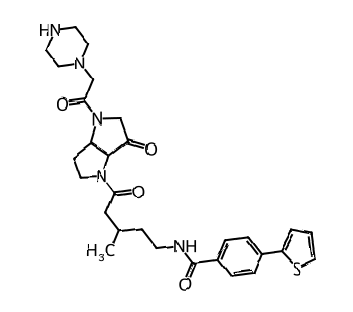 CC(CCNC(=O)c1ccc(-c2cccs2)cc1)CC(=O)N1CCC2C1C(=O)CN2C(=O)CN1CCNCC1